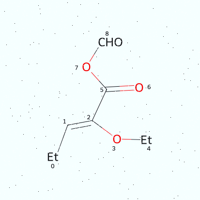 CCC=C(OCC)C(=O)OC=O